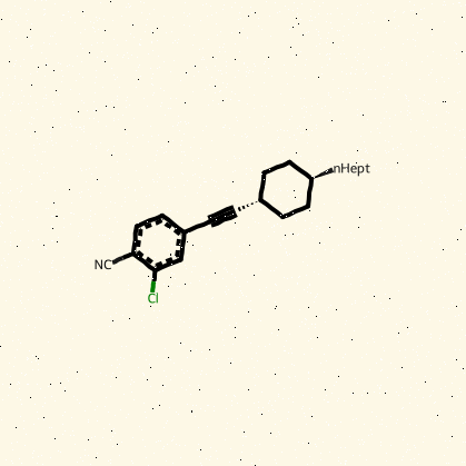 CCCCCCC[C@H]1CC[C@H](C#Cc2ccc(C#N)c(Cl)c2)CC1